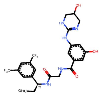 O=CC[C@H](NC(=O)CNC(=O)c1cc(O)cc(NC2=NCC(O)CN2)c1)c1cc(C(F)(F)F)cc(C(F)(F)F)c1